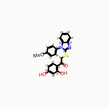 COc1ccc(-n2c(SCC(=O)c3ccc(O)cc3O)nc3ccccc32)cc1